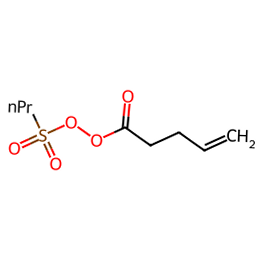 C=CCCC(=O)OOS(=O)(=O)CCC